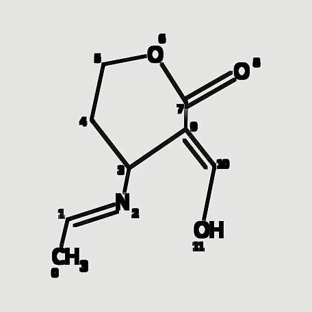 C/C=N/C1CCOC(=O)/C1=C/O